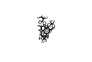 C/C=C(/C)C(=O)O[C@H]1C(C)=C[C@]23C(=O)[C@@H](C=C4COC(C)(C)O[C@H]4[C@]12O)[C@H]1[C@@H](C[C@H]3C)C1(C)C